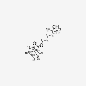 CC(F)(F)CCCCOC(=O)C12CC3CC(CC(C3)C1)C2